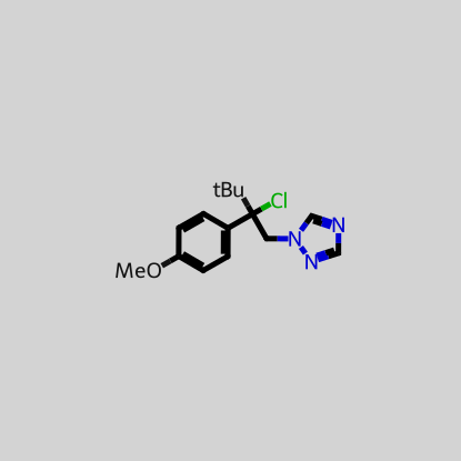 COc1ccc(C(Cl)(Cn2cncn2)C(C)(C)C)cc1